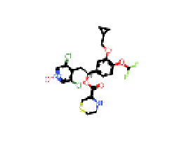 O=C(O[C@@H](Cc1c(Cl)c[n+]([O-])cc1Cl)c1ccc(OC(F)F)c(OCC2CC2)c1)C1CSCCN1